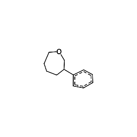 c1ccc(C2CCCCOC2)cc1